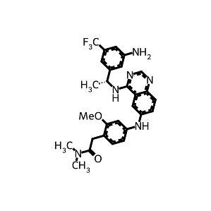 COc1cc(Nc2ccc3ncnc(N[C@H](C)c4cc(N)cc(C(F)(F)F)c4)c3c2)ccc1CC(=O)N(C)C